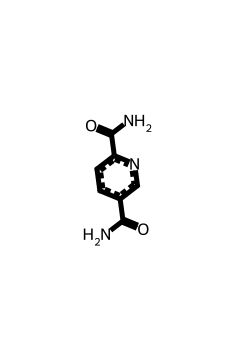 NC(=O)c1ccc(C(N)=O)nc1